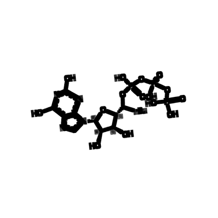 CCCCC(OP(=O)(O)OP(=O)(O)OP(=O)(O)O)[C@H]1O[C@@H](n2cnc3c(O)nc(O)nc32)[C@H](O)[C@@H]1O